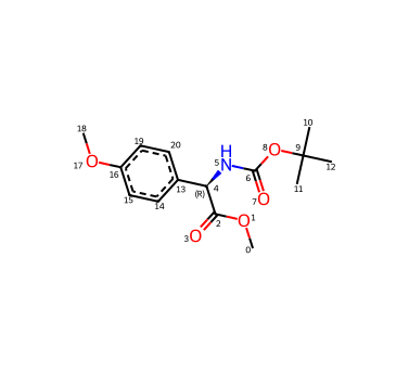 COC(=O)[C@H](NC(=O)OC(C)(C)C)c1ccc(OC)cc1